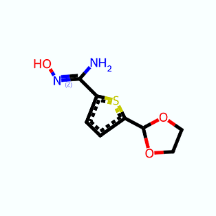 N/C(=N\O)c1ccc(C2OCCO2)s1